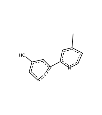 Cc1ccnc(-c2cc(O)ccn2)c1